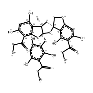 CC(C)CC(=O)c1c(O)cc(O)c(C[C@]23Oc4c(C(=O)CC(C)C)c(O)cc(O)c4[C@H]2C[C@@]2(COc4cc(O)c(C(=O)CC(C)C)c(O)c42)O3)c1O